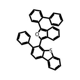 c1ccc(-c2ccccc2-c2oc(-c3c(-c4ccccc4)ccc4c3sc3ccccc34)c3ccccc23)cc1